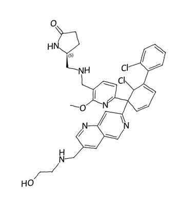 COc1nc(C2(c3cc4ncc(CNCCO)cc4cn3)C=CC=C(c3ccccc3Cl)C2Cl)ccc1CNC[C@@H]1CCC(=O)N1